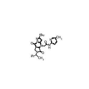 Cc1ccc(NC(=O)Cn2c3c(c(=O)n4nc(C(C)(C)C)cc24)CN([C@@H](C)C(C)C)C3=O)nc1